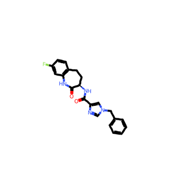 O=C(N[C@@H]1CCc2ccc(F)cc2NC1=O)c1cn(Cc2ccccc2)cn1